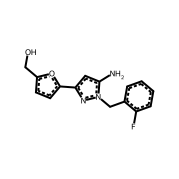 Nc1cc(-c2ccc(CO)o2)nn1Cc1ccccc1F